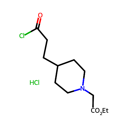 CCOC(=O)CN1CCC(CCC(=O)Cl)CC1.Cl